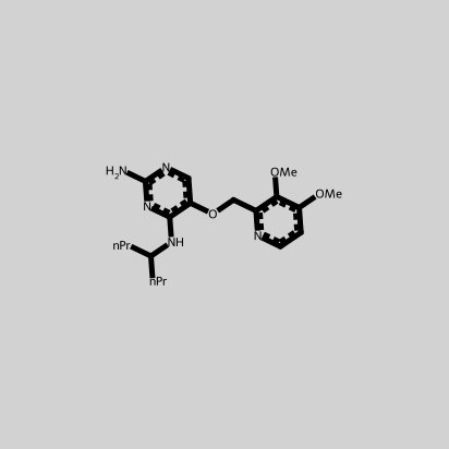 CCCC(CCC)Nc1nc(N)ncc1OCc1nccc(OC)c1OC